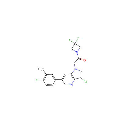 Cc1cc(-c2cnc3c(Cl)cn(CC(=O)N4CC(F)(F)C4)c3c2)ccc1F